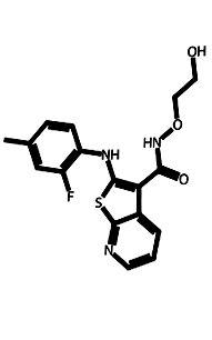 Cc1ccc(Nc2sc3ncccc3c2C(=O)NOCCO)c(F)c1